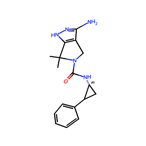 CC1(C)c2[nH]nc(N)c2CN1C(=O)N[C@@H]1CC1c1ccccc1